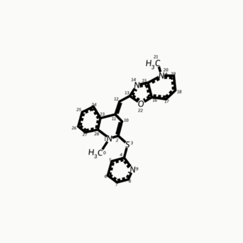 CN1C(Sc2ccccn2)=C/C(=C\c2nc3c(ccc[n+]3C)o2)c2ccccc21